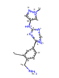 Cc1cc(-c2ncnc(Nc3cnn(C)c3)n2)ccc1CN